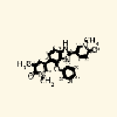 Cc1cc(-c2ccc3[nH]c(-c4ccc(=O)n(C)c4)nc3c2Oc2ccccc2)cn(C)c1=O